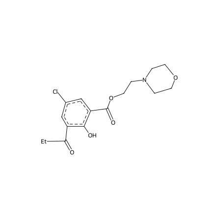 CCC(=O)c1cc(Cl)cc(C(=O)OCCN2CCOCC2)c1O